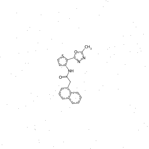 Cc1nnc(-c2sccc2NC(=O)Cc2cccc3ccccc23)o1